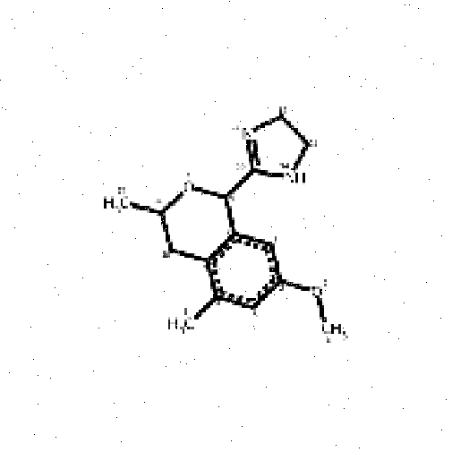 COc1cc(C)c2c(c1)C(C1=NCCN1)OC(C)C2